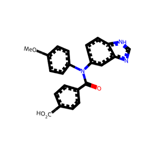 COc1ccc(N(C(=O)c2ccc(C(=O)O)cc2)c2ccc3[nH]cnc3c2)cc1